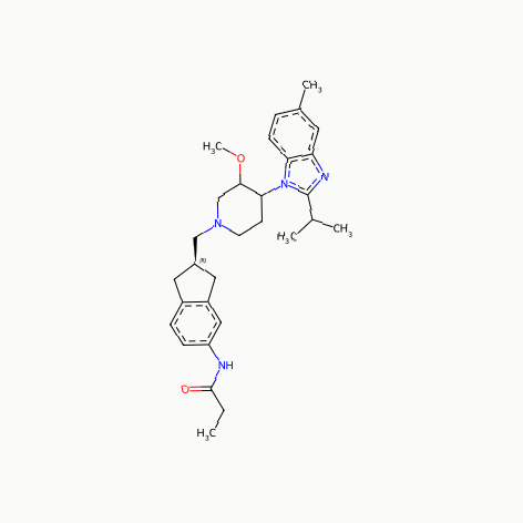 CCC(=O)Nc1ccc2c(c1)C[C@H](CN1CCC(n3c(C(C)C)nc4cc(C)ccc43)C(OC)C1)C2